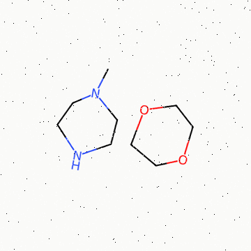 C1COCCO1.CN1CCNCC1